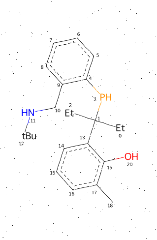 CCC(CC)(Pc1ccccc1CNC(C)(C)C)c1cccc(C)c1O